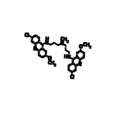 COc1ccc2nc3cc(Cl)ccc3c(NCCCN(C)CCCNc3c4ccc(Cl)cc4nc4ccc(OC)cc34)c2c1